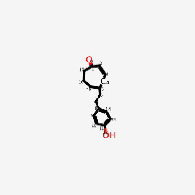 O=C1C=CCC(CCc2ccc(O)cc2)CCC1